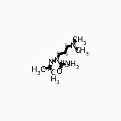 CC(C)=NN(CCCN(C)C)C(N)=O